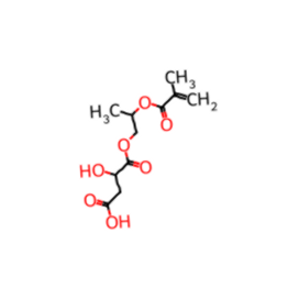 C=C(C)C(=O)OC(C)COC(=O)C(O)CC(=O)O